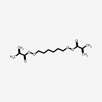 C=C(C)C(=O)OOCCCCCCOOC(=O)C(=C)C